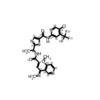 C/N=C(\C=C\C(=O)NC(C)c1ncc(C(=O)Nc2cc(C(F)(F)F)c(Cl)cn2)s1)c1cnccc1OC